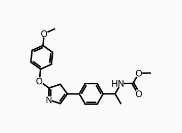 COC(=O)NC(C)c1ccc(C2=CN=C(Oc3ccc(OC)cc3)C2)cc1